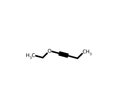 CCC#COCC